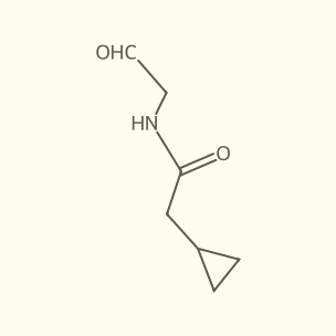 O=CCNC(=O)CC1CC1